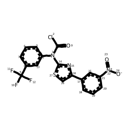 O=C(Cl)N(c1cccc(C(F)(F)F)c1)c1nc(-c2cccc([N+](=O)[O-])c2)cs1